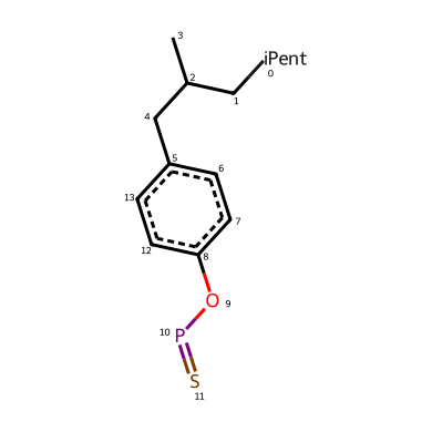 CCCC(C)CC(C)Cc1ccc(OP=S)cc1